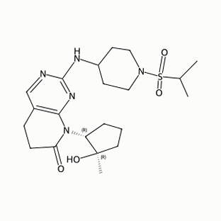 CC(C)S(=O)(=O)N1CCC(Nc2ncc3c(n2)N([C@@H]2CCC[C@@]2(C)O)C(=O)CC3)CC1